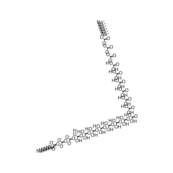 O=C(O)O.O=C(O)O.O=C(O)O.O=C(O)O.O=C(O)O.O=C(O)O.O=C(O)O.O=C(O)O.O=C(O)O.O=C(O)O.O=C(O)O.O=C(O)O.O=C(O)O.O=C(O)O.O=C([O-])[O-].O=C([O-])[O-].O=C([O-])[O-].O=C([O-])[O-].O=C([O-])[O-].O=C([O-])[O-].[Na+].[Na+].[Na+].[Na+].[Na+].[Na+].[Na+].[Na+].[Na+].[Na+].[Na+].[Na+]